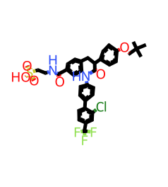 CC(C)(C)COc1ccc(C(Cc2ccc(C(=O)NCCS(=O)(=O)O)cc2)C(=O)Nc2ccc(-c3ccc(C(F)(F)F)cc3Cl)cc2)cc1